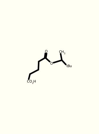 CC(OC(=O)CCCC(=O)O)C(C)(C)C